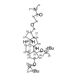 CN(C)C(=O)CCOCC1CC[C@H]2[C@@H]3CC=C4CC(O[Si](C)(C)C(C)(C)C)CC(O[Si](C)(C)C(C)(C)C)[C@]4(C)[C@@H]3CC[C@]12C